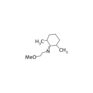 COCCN=C1C(C)CCCC1C